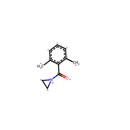 Cc1cccc(C)c1C(=O)N1CC1